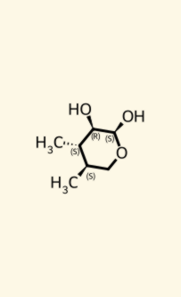 C[C@@H]1[C@@H](O)[C@@H](O)OC[C@H]1C